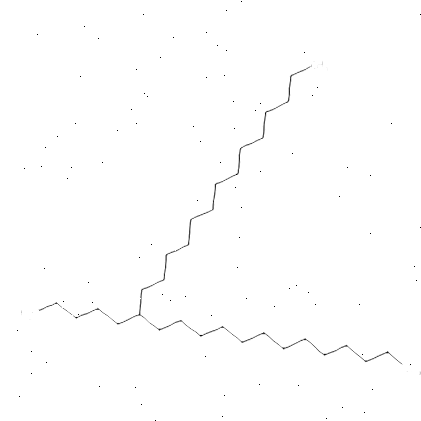 [CH2]CCCCC(CCCCCCCCCCCCC)CCCCCCCCCCCCCC